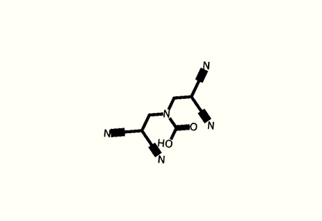 N#CC(C#N)CN(CC(C#N)C#N)C(=O)O